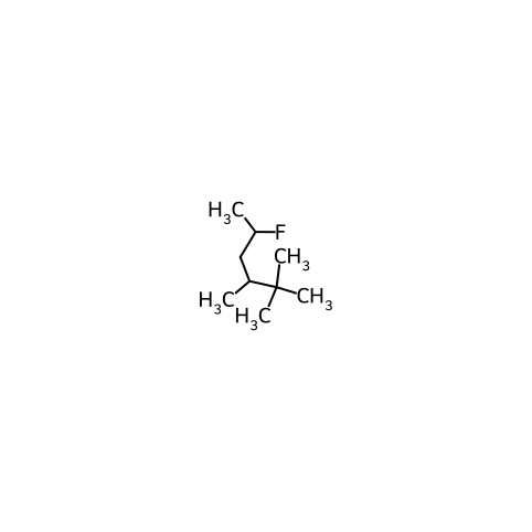 CC(F)CC(C)C(C)(C)C